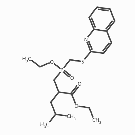 CCOC(=O)C(CC(C)C)CP(=O)(CSc1ccc2ccccc2n1)OCC